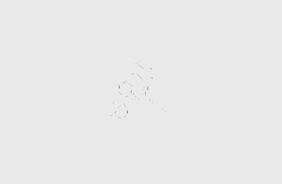 CN1CCN(C(=N)Nc2ccccc2-c2ccccc2F)CC1.O=C(O)/C=C/C(=O)O.O=C(O)/C=C/C(=O)O